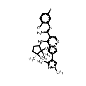 Cc1nn(C)cc1-c1cc2c(N[C@@H]3CC[C@](C)(N)C3(C)C)c(/C(N)=N/c3cc(F)ccc3Cl)cnn2c1